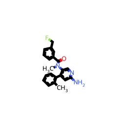 Cc1ccccc1-c1cc(N)ncc1N(C)C(=O)c1cccc(CF)c1